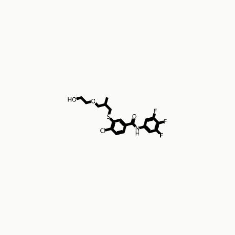 CC(COCCO)CSc1cc(C(=O)Nc2cc(F)c(F)c(F)c2)ccc1Cl